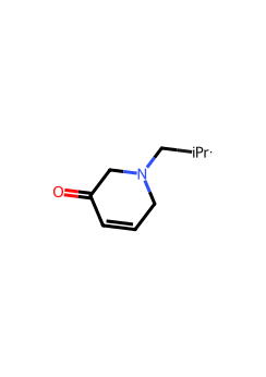 C[C](C)CN1CC=CC(=O)C1